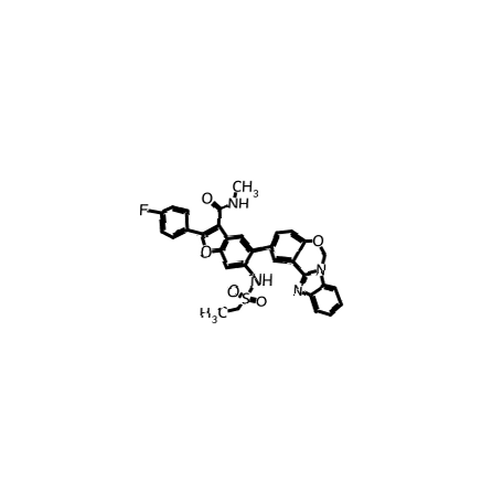 CCS(=O)(=O)Nc1cc2oc(-c3ccc(F)cc3)c(C(=O)NC)c2cc1-c1ccc2c(c1)-c1nc3ccccc3n1CO2